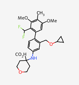 COc1cc(-c2ccc(NC3(C(=O)O)CCOCC3)cc2COC2CC2)c(C(F)F)c(OC)c1C